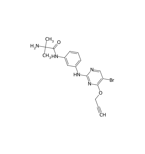 C#CCOc1nc(Nc2cccc(NC(=O)C(C)(C)N)c2)ncc1Br